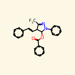 O=C(OC1C(C=Cc2ccccc2)C(C(F)(F)F)=NN1c1ccccc1)c1ccccc1